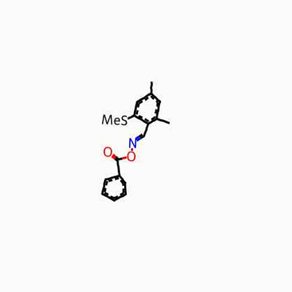 CSc1cc(C)cc(C)c1C=NOC(=O)c1ccccc1